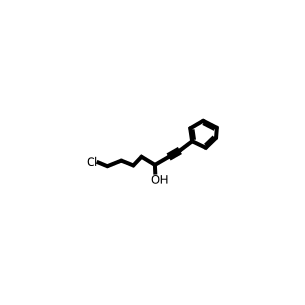 OC(C#Cc1ccccc1)CCCCCl